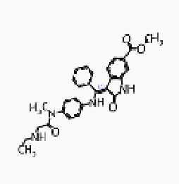 CCNCC(=O)N(C)c1ccc(N/C(=C2\C(=O)Nc3cc(C(=O)OC)ccc32)c2ccccc2)cc1